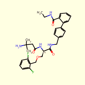 CCNC(=O)c1ccccc1-c1ccc(CNC(=O)[C@@H](COCc2c(F)cccc2F)NC(=O)CC(C)(C)N)cc1